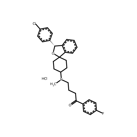 CN(CCCC(=O)c1ccc(F)cc1)C1CCC2(CC1)O[C@H](c1ccc(Cl)cc1)c1ccccc12.Cl